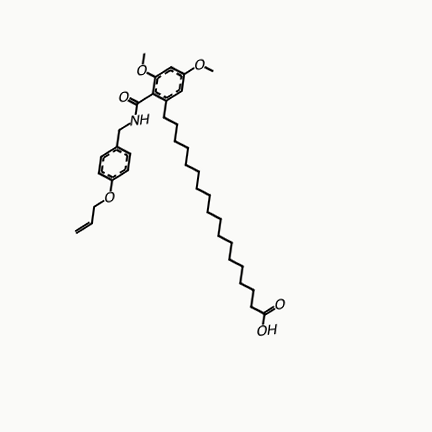 C=CCOc1ccc(CNC(=O)c2c(CCCCCCCCCCCCCCCCCC(=O)O)cc(OC)cc2OC)cc1